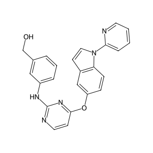 OCc1cccc(Nc2nccc(Oc3ccc4c(ccn4-c4ccccn4)c3)n2)c1